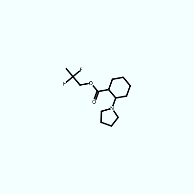 CC(F)(F)COC(=O)C1CCCCC1N1CCCC1